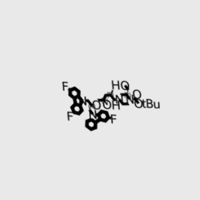 C[C@H](C[C@@H](O)CO[C@H](Cn1c2ccccc2c2cc(F)ccc21)Cn1c2ccc(F)cc2c2cc(F)ccc21)CN1CCN(C(=O)OC(C)(C)C)[C@@H](CO)C1